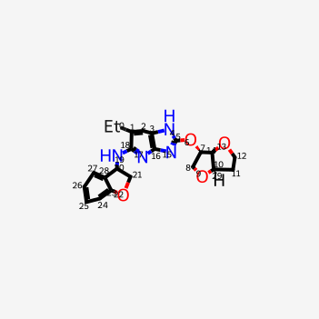 CCc1cc2[nH]c(O[C@@H]3CO[C@@H]4CCOC43)nc2nc1NC1COc2ccccc21